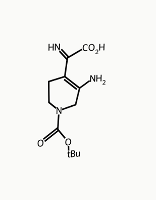 CC(C)(C)OC(=O)N1CCC(C(=N)C(=O)O)=C(N)C1